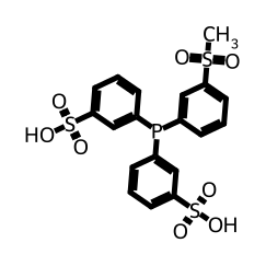 CS(=O)(=O)c1cccc(P(c2cccc(S(=O)(=O)O)c2)c2cccc(S(=O)(=O)O)c2)c1